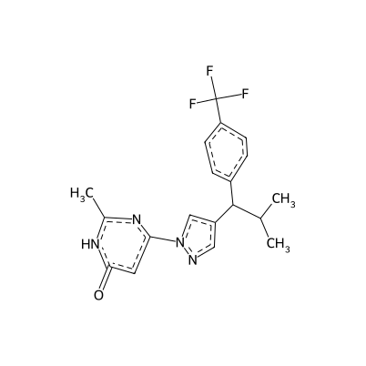 Cc1nc(-n2cc(C(c3ccc(C(F)(F)F)cc3)C(C)C)cn2)cc(=O)[nH]1